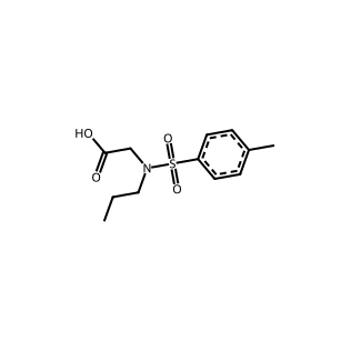 CCCN(CC(=O)O)S(=O)(=O)c1ccc(C)cc1